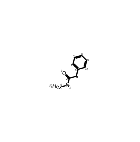 CCCCCC[N]C(=O)Cc1ccccc1